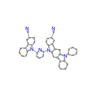 N#Cc1ccc2c(c1)c1ccccc1n2-c1cccc(-n2c3ccc(C#N)cc3c3cc4c(cc32)c2ccccc2n4-c2ccccc2)n1